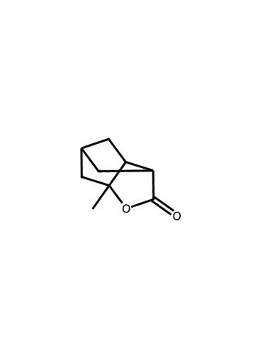 CC12CC3CC(C(=O)O1)C2C3